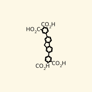 O=C(O)c1ccc(-c2ccc3c(c2)Cc2cc(-c4ccc(C(=O)O)c(C(=O)O)c4)ccc2-3)cc1C(=O)O